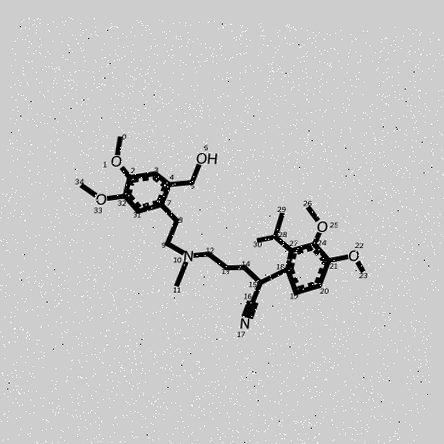 COc1cc(CO)c(CCN(C)CCCC(C#N)c2ccc(OC)c(OC)c2C(C)C)cc1OC